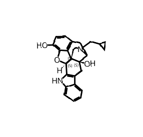 Oc1ccc2c3c1O[C@@H]1c4[nH]c5ccccc5c4C[C@@]4(O)C(C2)N(CC2CC2)CC[C@]314